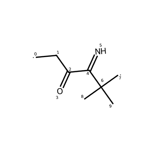 [CH2]CC(=O)C(=N)C([CH2])(C)C